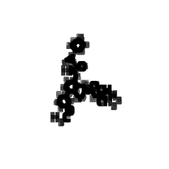 COc1cccc(-c2ccc(CNC(=O)[C@H]3C[C@@H]3c3ccccc3)c3c2CCN(C(=O)CC(C)(C)C)C3)c1